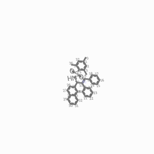 Cc1cc(C)c(S(=O)(=O)NC(/C(=C/c2ccccc2)c2ccccc2)c2ccc3ccccc3c2)c(C)c1